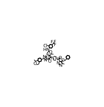 CCc1c(N2CCN(C(=O)c3ncnc(C)c3OCc3ccccc3)CC2)c(=O)n2nc(-c3ccc4c(c3)CCOC4C)nc2n1CC(=O)Nc1ccc(C(F)(F)F)cc1Cl